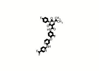 CC(C)n1cc(C(=O)Nc2ccc(Oc3ccnc(Nc4ccc(C(F)F)cn4)c3)c(F)c2)c(=O)n(-c2ccc(F)cc2)c1=O